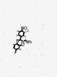 CC(C)/C=N/C(=Nc1ccc(F)cc1Cl)c1ccc([N+](=O)[O-])cc1